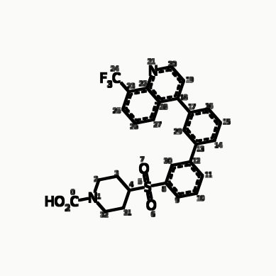 O=C(O)N1CCC(S(=O)(=O)c2cccc(-c3cccc(-c4ccnc5c(C(F)(F)F)cccc45)c3)c2)CC1